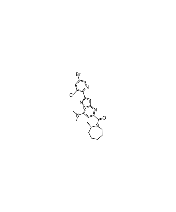 C[C@@H]1CCCCCN1C(=O)c1cc(N(C)C)n2nc(-c3ncc(Br)cc3Cl)cc2n1